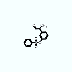 CC(C=O)c1cccc(OS(=O)(=O)c2ccccc2)c1